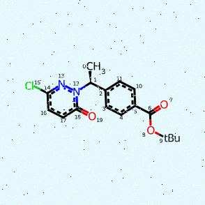 C[C@@H](c1ccc(C(=O)OC(C)(C)C)cc1)n1nc(Cl)ccc1=O